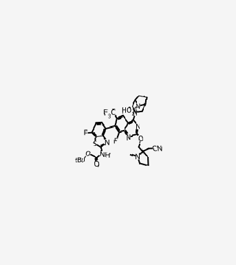 CN1CCCC1(CC#N)COc1nc(N2CC3CCC(C2)N3C(=O)O)c2cc(C(F)(F)F)c(-c3ccc(F)c4sc(NC(=O)OC(C)(C)C)nc34)c(F)c2n1